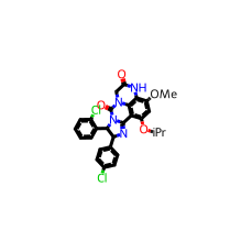 COc1cc(OC(C)C)c2c3c1NC(=O)CN3C(=O)N1C2=NC(c2ccc(Cl)cc2)C1c1ccccc1Cl